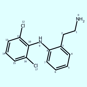 NCCc1ccccc1Nc1c(Cl)cccc1Cl